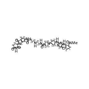 CNC(=O)c1ccccc1Nc1nc(Nc2ccc(N3CCN(C(=O)NCCNCCCC(=O)Nc4ccc5c(c4)CN(C4CCC(=O)NC4=O)C5=O)CC3)cc2)ncc1Cl